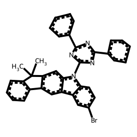 CC1(C)c2ccccc2-c2cc3c4cc(Br)ccc4n(-c4nc(-c5ccccc5)nc(-c5ccccc5)n4)c3cc21